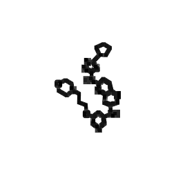 c1ncc(OCCCN2CCOCC2)cc1Nc1cnc2ccc(Nc3nnc(C4CCCC4)s3)nc2c1